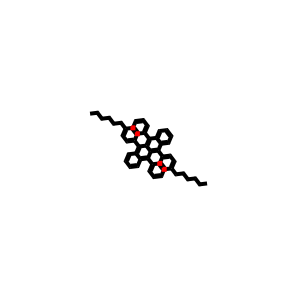 CCCCCCc1ccc(-c2c3ccccc3c(-c3ccccc3)c3c(-c4ccc(CCCCCC)cc4)c4ccccc4c(-c4ccccc4)c23)cc1